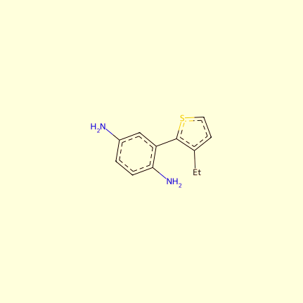 CCc1ccsc1-c1cc(N)ccc1N